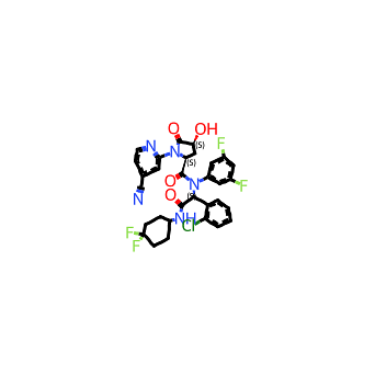 N#Cc1ccnc(N2C(=O)[C@@H](O)C[C@H]2C(=O)N(c2cc(F)cc(F)c2)[C@H](C(=O)NC2CCC(F)(F)CC2)c2ccccc2Cl)c1